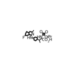 Cc1cc2ccc(F)cc2c(Nc2ccc(C(C)C(Nc3c(OC(C)C)c(=O)c3=O)C(=O)O)cc2)n1